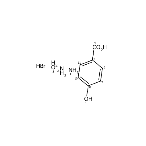 Br.N.N.O.O=C(O)c1ccc(O)cc1